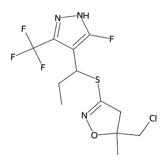 CCC(SC1=NOC(C)(CCl)C1)c1c(C(F)(F)F)n[nH]c1F